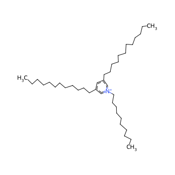 CCCCCCCCCCCCc1cc(CCCCCCCCCCCC)c[n+](CCCCCCCCCC)c1